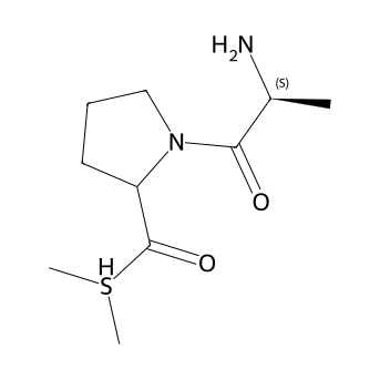 C[C@H](N)C(=O)N1CCCC1C(=O)[SH](C)C